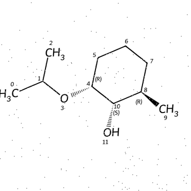 CC(C)O[C@@H]1CCC[C@@H](C)[C@@H]1O